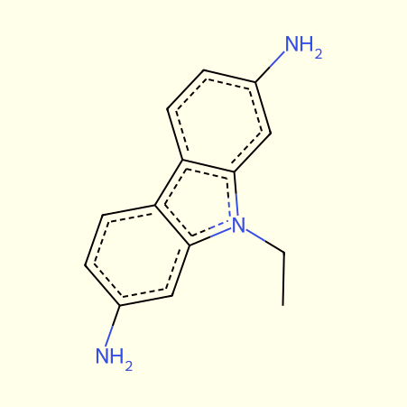 CCn1c2cc(N)ccc2c2ccc(N)cc21